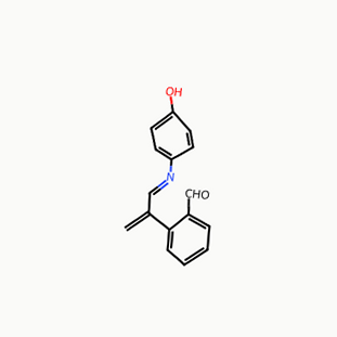 C=C(/C=N/c1ccc(O)cc1)c1ccccc1C=O